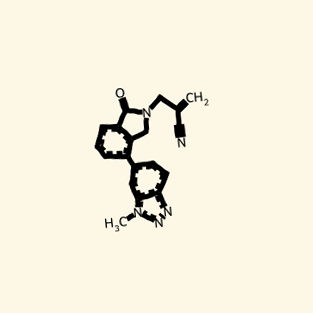 C=C(C#N)CN1Cc2c(cccc2-c2ccc3nnn(C)c3c2)C1=O